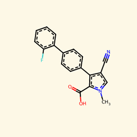 Cn1cc(C#N)c(-c2ccc(-c3ccccc3F)cc2)c1C(=O)O